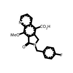 COc1c2c(c(C(=O)O)c3cccnc13)CN(Cc1ccc(F)cc1)C2=O